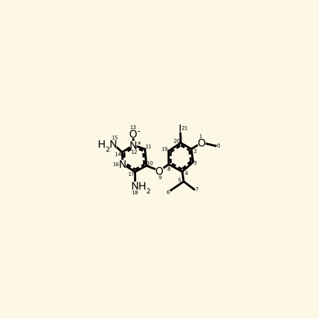 COc1cc(C(C)C)c(Oc2c[n+]([O-])c(N)nc2N)cc1I